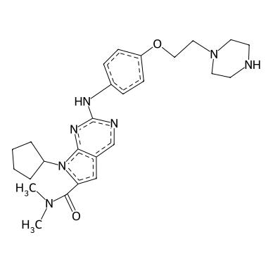 CN(C)C(=O)c1cc2cnc(Nc3ccc(OCCN4CCNCC4)cc3)nc2n1C1CCCC1